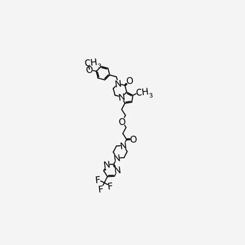 COc1ccc(CN2CCn3c(CCOCCC(=O)N4CCN(c5ncc(C(F)(F)F)cn5)CC4)cc(C)c3C2=O)cc1